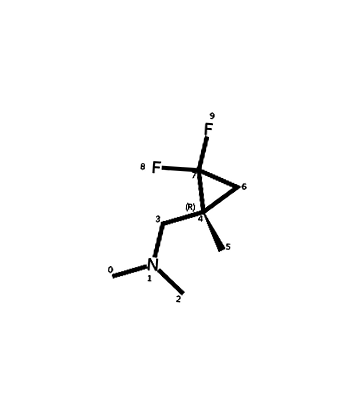 CN(C)C[C@@]1(C)CC1(F)F